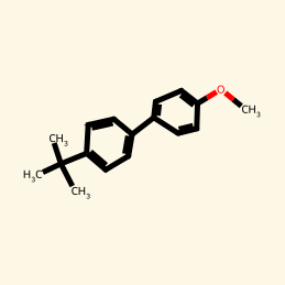 COc1ccc(-c2c[c]c(C(C)(C)C)cc2)cc1